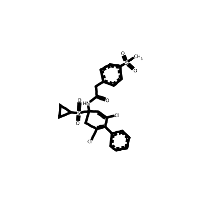 CS(=O)(=O)c1ccc(CC(=O)NC2(S(=O)(=O)C3CC3)C=C(Cl)C(c3ccccc3)=C(Cl)C2)cc1